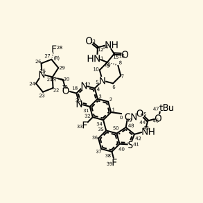 Cc1cc2c(N3CCC[C@]4(C3)NC(=O)NC4=O)nc(OC[C@@]34CCCN3C[C@H](F)C4)nc2c(F)c1-c1ccc(F)c2sc(NC(=O)OC(C)(C)C)c(C#N)c12